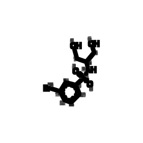 O=S(=O)(NC(CO)CO)c1cccc(Br)c1